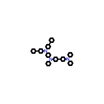 c1ccc(-c2ccc(N(c3ccc(-c4ccccc4)cc3)c3ccc(N(c4ccccc4)c4ccc(-c5ccc(N(c6ccccc6)c6ccccc6)cc5)cc4)cc3)cc2)cc1